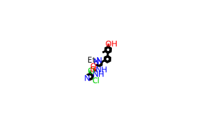 CCn1nc(-c2cccc(-c3ccc(O)cc3C)c2)cc(NC(=O)Nc2c(Cl)cncc2Cl)c1=O